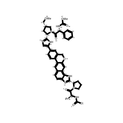 CCC(=O)N[C@H](C(=O)N1CCC[C@H]1c1nc2ccc3cc4c(cc3c2[nH]1)OCc1cc(-c2cnc([C@@H]3C[C@H](COC)CN3C(=O)[C@H](NC(=O)OC)c3ccccc3)[nH]2)ccc1-4)C(C)C